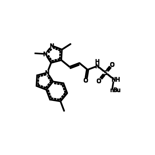 CCCCNS(=O)(=O)NC(=O)C=Cc1c(C)nn(C)c1-n1ccc2cc(C)ccc21